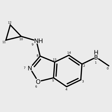 CBc1ccc2onc(NC3CC3)c2c1